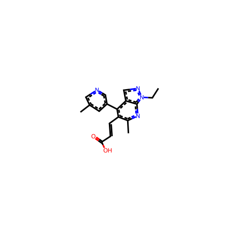 CCn1ncc2c(-c3cncc(C)c3)c(C=CC(=O)O)c(C)nc21